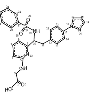 O=C(O)CNc1cccc(C(Cc2ccc(-n3cccn3)cc2)NS(=O)(=O)c2ccccn2)n1